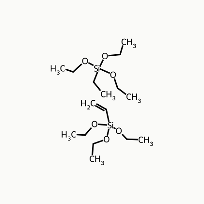 C=C[Si](OCC)(OCC)OCC.CCO[Si](CC)(OCC)OCC